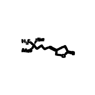 CCCCCCCCC[C@](C)(CCC/C=C1\COC(=O)C1)OC